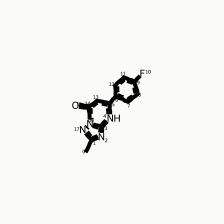 Cc1nc2[nH]c(-c3ccc(F)cc3)cc(=O)n2n1